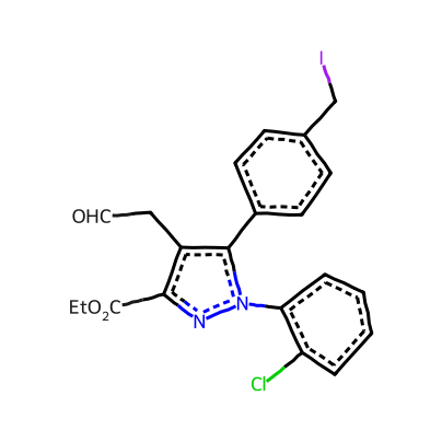 CCOC(=O)c1nn(-c2ccccc2Cl)c(-c2ccc(CI)cc2)c1CC=O